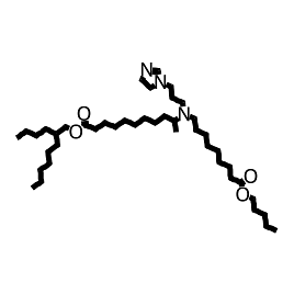 CCCCCCC(CCCC)COC(=O)CCCCCCCCC(C)N(CCCCCCCCC(=O)OCCCCC)CCCN1C=NCC1